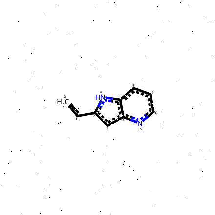 C=Cc1cc2ncccc2[nH]1